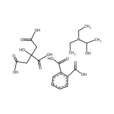 CCN(CC)C(C)O.O=C(O)CC(O)(CC(=O)O)C(=O)O.O=C(O)c1ccccc1C(=O)O